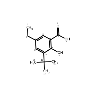 CCc1cc(C(=O)O)c(O)c(C(C)(C)C)c1